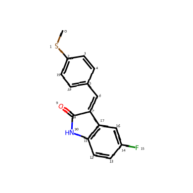 CSc1ccc(/C=C2\C(=O)Nc3ccc(F)cc32)cc1